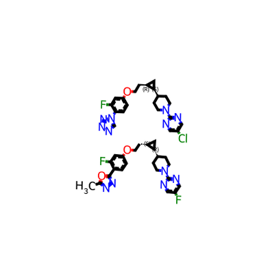 Cc1nnc(-c2ccc(OCC[C@@H]3C[C@@H]3C3CCN(c4ncc(F)cn4)CC3)cc2F)o1.Fc1cc(OCC[C@H]2C[C@H]2C2CCN(c3ncc(Cl)cn3)CC2)ccc1-n1cnnn1